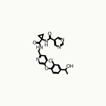 CC(O)c1ccc(Oc2ccc(CNC(=O)C3(NC(=O)c4cncnc4)CC3)nc2)c(Cl)c1